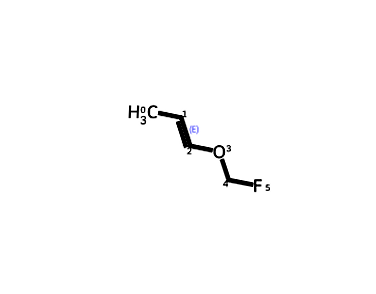 C/C=[C]/OCF